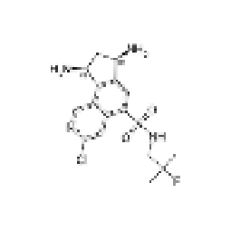 CC(C)(F)CNS(=O)(=O)c1cc2c(c3cnc(Cl)cc13)[C@@H](N)C[C@H]2N